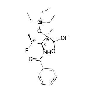 CC[Si](CC)(CC)O[C@@](C)(C(=O)O)[C@@H](NC(=O)c1ccccc1)[C@H](C)F